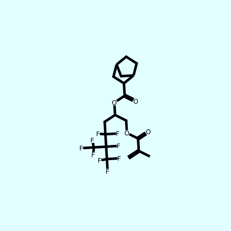 C=C(C)C(=O)OCC(CC(F)(F)C(F)(C(F)(F)F)C(F)(F)F)OC(=O)C1CC2CCC1C2